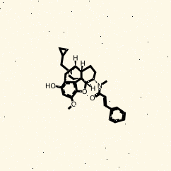 COc1cc(O)c2c3c1O[C@H]1[C@@H](N(C)C(=O)C=Cc4ccccc4)CC[C@H]4[C@@H](C2)N(CC2CC2)CC[C@@]341